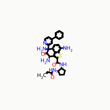 C=CC(=O)N[C@H]1CCC[C@H]1NC(=O)c1sc2c(N)ccc3c2c1C(N)C(=O)C3(N)c1cc(-c2ccccc2)ccn1